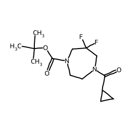 CC(C)(C)OC(=O)N1CCN(C(=O)C2CC2)CC(F)(F)C1